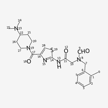 Cc1ccccc1CN(C=O)CC(=O)Nc1nc(C(=O)N2CCC(N(C)C)CC2)cs1